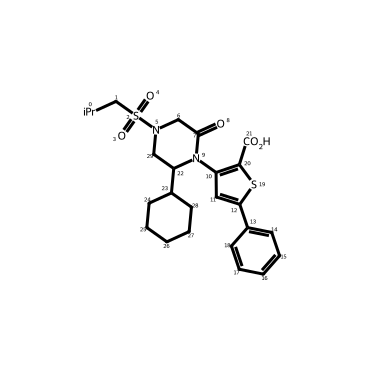 CC(C)CS(=O)(=O)N1CC(=O)N(c2cc(-c3ccccc3)sc2C(=O)O)C(C2CCCCC2)C1